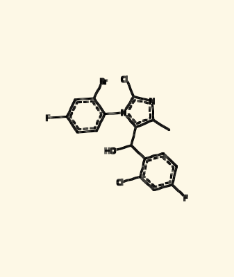 Cc1nc(Cl)n(-c2ccc(F)cc2Br)c1C(O)c1ccc(F)cc1Cl